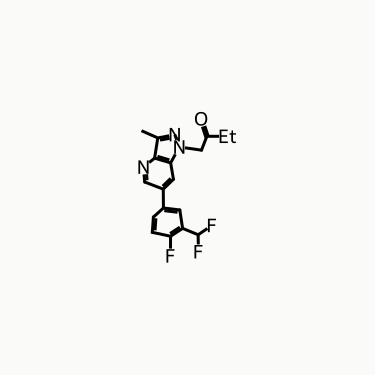 CCC(=O)Cn1nc(C)c2ncc(-c3ccc(F)c(C(F)F)c3)cc21